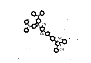 N#Cc1cc(-n2c3ccc(N(c4ccccc4)c4ccccc4)cc3c3cc(N(c4ccccc4)c4ccccc4)ccc32)c(C#N)cc1-c1ccc(-c2ccc(-c3cc(-c4ccccc4C#N)nc(-c4ccccc4C#N)n3)cc2)cc1